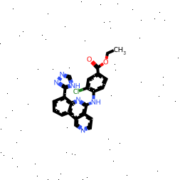 CCOC(=O)c1ccc(Nc2nc3c(-c4nnc[nH]4)cccc3c3cnccc23)c(Cl)c1